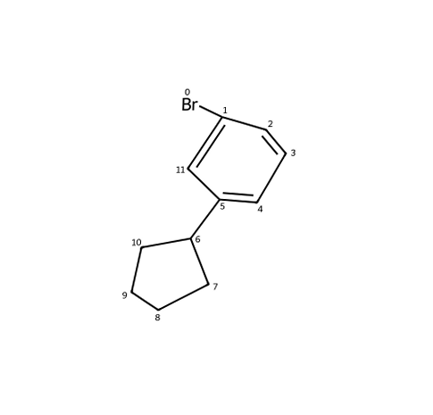 Brc1cccc(C2CCCC2)c1